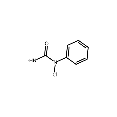 [NH]C(=O)N(Cl)c1ccccc1